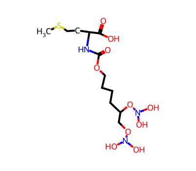 CSCCC(NC(=O)OCCCCC(CON(O)O)ON(O)O)C(=O)O